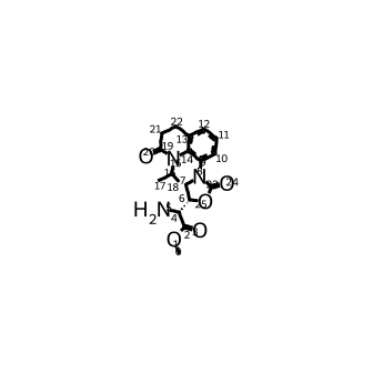 COC(=O)C(N)[C@@H]1CN(c2cccc3c2N(C(C)C)C(=O)CC3)C(=O)O1